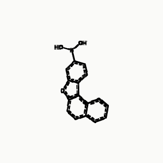 OB(O)c1ccc2c(c1)oc1ccc3ccccc3c12